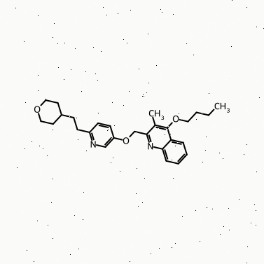 CCCCOc1c(C)c(COc2ccc(CCC3CCOCC3)nc2)nc2ccccc12